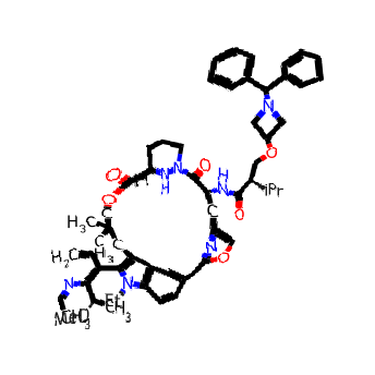 C=C/C(=C(\N=C/C)[C@H](C)OC)c1c2c3cc(ccc3n1CC)-c1nc(co1)C[C@H](NC(=O)[C@@H](COC1CN(C(c3ccccc3)c3ccccc3)C1)C(C)C)C(=O)N1CCC[C@H](N1)C(=O)OCC(C)(C)C2